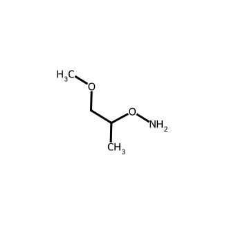 COCC(C)ON